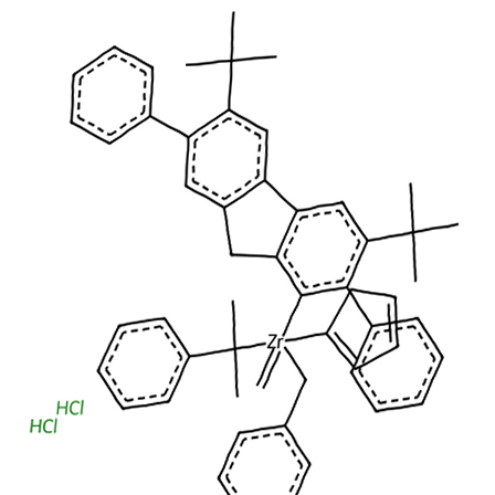 Cl.Cl.[CH2]=[Zr]([CH2]c1ccccc1)([C]1=CC=CC1)([c]1c2c(cc(C(C)(C)C)c1-c1ccccc1)-c1cc(C(C)(C)C)c(-c3ccccc3)cc1C2)[C](C)(C)c1ccccc1